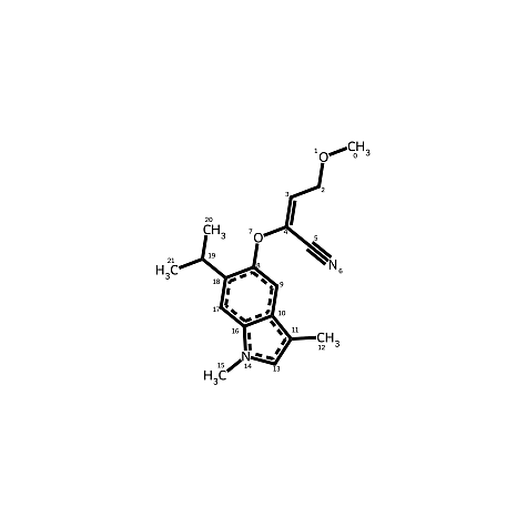 COCC=C(C#N)Oc1cc2c(C)cn(C)c2cc1C(C)C